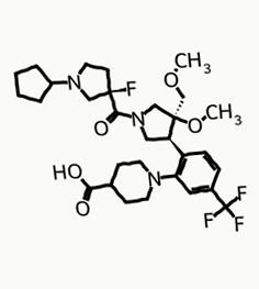 COC[C@@]1(OC)CN(C(=O)[C@@]2(F)CCN(C3CCCC3)C2)C[C@@H]1c1ccc(C(F)(F)F)cc1N1CCC(C(=O)O)CC1